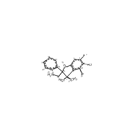 CC1(O)c2c(cc(F)c(Cl)c2Br)OC1(CN)c1ccccn1